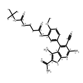 COc1ccc(-c2c(C#N)c(N)nc3sc(C(N)=O)c(N)c23)cc1NC(=O)CCNC(=O)OC(C)(C)C